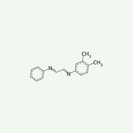 Cc1ccc(N=CC=Nc2ccccc2)cc1C